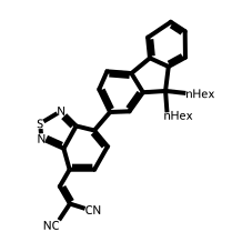 CCCCCCC1(CCCCCC)c2ccccc2-c2ccc(-c3ccc(C=C(C#N)C#N)c4nsnc34)cc21